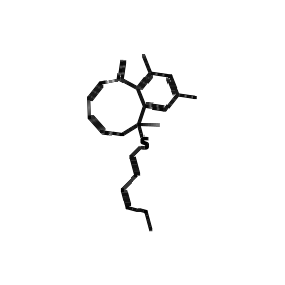 C=C1/C=C\C=C/CC(C)(S/C=C/C=C\CC)c2cc(C)cc(C)c21